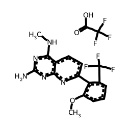 CNc1nc(N)nc2nc(-c3c(OC)cccc3C(F)(F)F)ccc12.O=C(O)C(F)(F)F